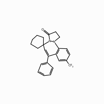 O=C1CCN2c3ccc(C(F)(F)F)cc3C(c3ccccc3)=CC3(CCCCC3)N12